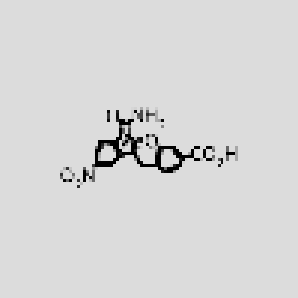 COc1cc(C(=O)O)ccc1Cc1cn(C(N)=O)c2ccc([N+](=O)[O-])cc12